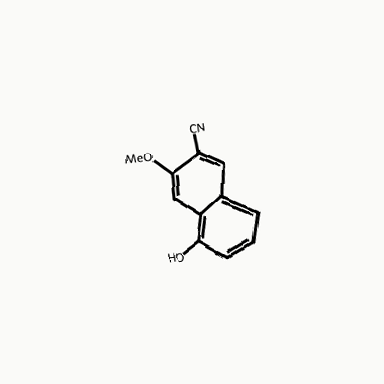 COc1cc2c(O)cccc2cc1C#N